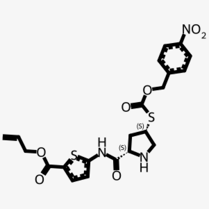 C=CCOC(=O)c1ccc(NC(=O)[C@@H]2C[C@H](SC(=O)OCc3ccc([N+](=O)[O-])cc3)CN2)s1